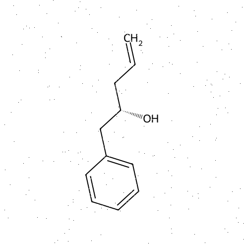 C=CC[C@H](O)Cc1ccccc1